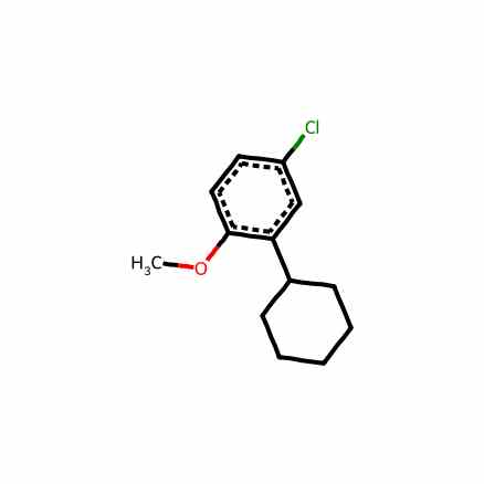 COc1ccc(Cl)cc1C1CCCCC1